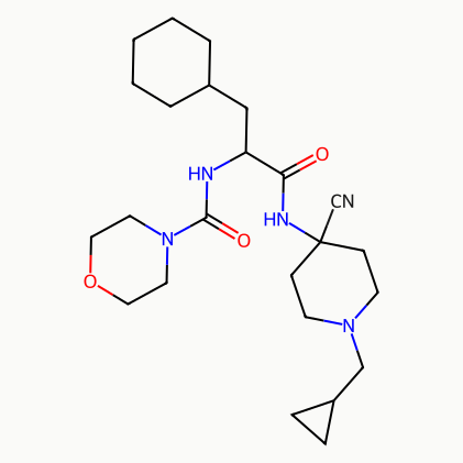 N#CC1(NC(=O)C(CC2CCCCC2)NC(=O)N2CCOCC2)CCN(CC2CC2)CC1